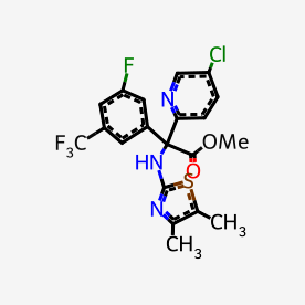 COC(=O)C(Nc1nc(C)c(C)s1)(c1cc(F)cc(C(F)(F)F)c1)c1ccc(Cl)cn1